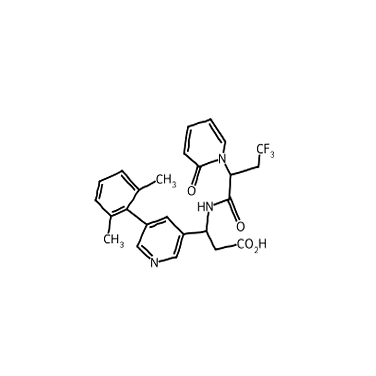 Cc1cccc(C)c1-c1cncc(C(CC(=O)O)NC(=O)C(CC(F)(F)F)n2ccccc2=O)c1